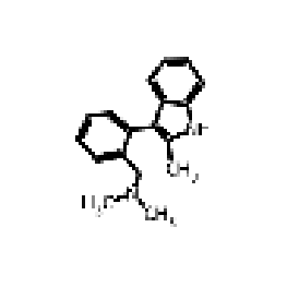 Cc1[nH]c2ccccc2c1-c1ccccc1CN(C)C